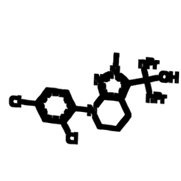 CCCC(O)(CCC)c1c2c(nn1C)N(c1ccc(Cl)cc1Cl)CCC2